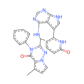 Cc1ccn2nc(C(C)Nc3ncnc4[nH]cc(-c5cccc(=O)[nH]5)c34)n(-c3ccccc3)c(=O)c12